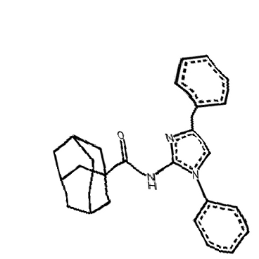 O=C(Nc1nc(-c2ccccc2)cn1-c1ccccc1)C12CC3CC(CC(C3)C1)C2